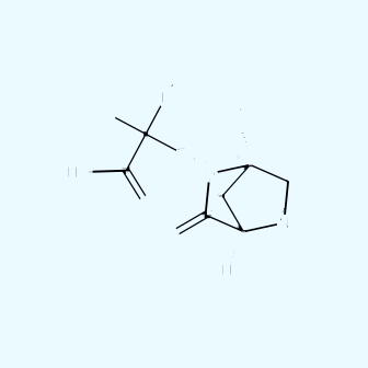 O=C(O)C(F)(F)F.O=C1O[C@H]2CN[C@@H]1C2